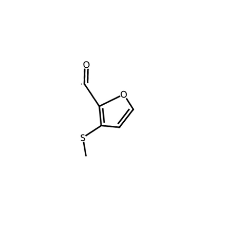 CSc1ccoc1[C]=O